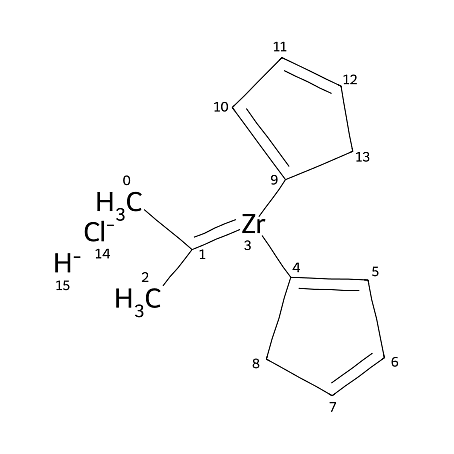 C[C](C)=[Zr]([C]1=CC=CC1)[C]1=CC=CC1.[Cl-].[H-]